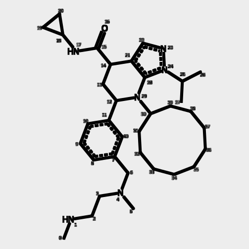 CNCCN(C)Cc1cccc(C2CC(C(=O)NC3CC3)c3cnn(C(C)C)c3N2C2CCCCCCCCC2)c1